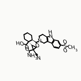 CS(=O)(=O)c1ccc2c3c([nH]c2c1)CCN(C(=O)[C@@H]1CCCC[C@@]1(C(=O)O)C1CC1(C#N)C(N)=O)C3